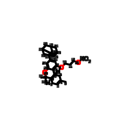 CC1=CC[C@@H]2[C@@H](C1)c1c(OCCCO[N+](=O)[O-])cc(C34CC5CC(CC(C5)C3)C4)cc1OC2(C)C